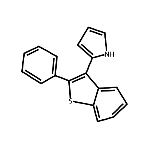 c1ccc(-c2sc3ccccc3c2-c2ccc[nH]2)cc1